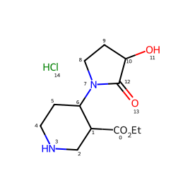 CCOC(=O)C1CNCCC1N1CCC(O)C1=O.Cl